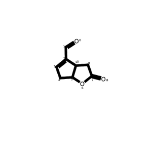 O=CC1=CCC2OC(=O)CC12